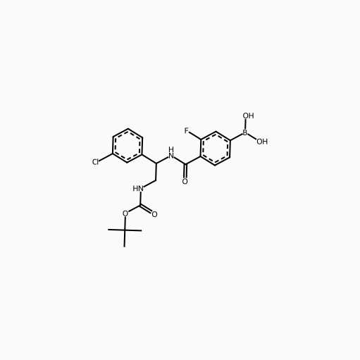 CC(C)(C)OC(=O)NCC(NC(=O)c1ccc(B(O)O)cc1F)c1cccc(Cl)c1